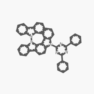 c1ccc(-c2nc(-c3ccccc3)nc(-n3c4ccccc4c4c3ccc3c5ccccc5n(-n5c6ccccc6c6ccccc65)c34)n2)cc1